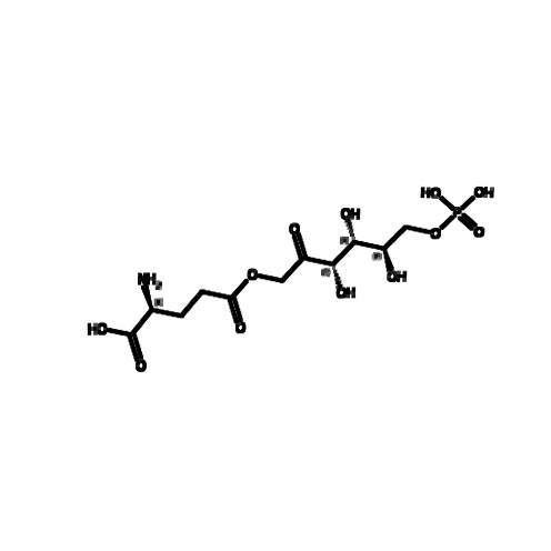 N[C@@H](CCC(=O)OCC(=O)[C@@H](O)[C@H](O)[C@H](O)COP(=O)(O)O)C(=O)O